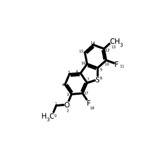 CCOc1ccc2c(sc3c(F)c(C)ccc32)c1F